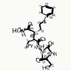 CC(C)CC(C(=O)NN1C(=O)NC(CO)C1=O)[C@@H](CCCc1ccccc1)C(=O)NO